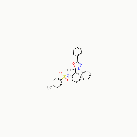 Cc1ccc(S(=O)(=O)Nc2ccccc2C2(C(F)(F)F)OC(c3ccccc3)=NN2c2ccccc2)cc1